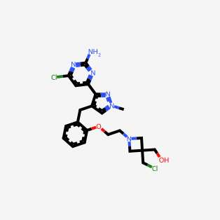 Cn1cc(Cc2ccccc2OCCN2CC(CO)(CCl)C2)c(-c2cc(Cl)nc(N)n2)n1